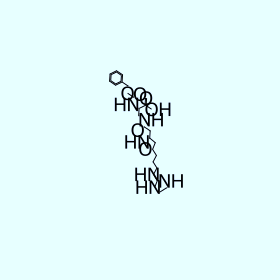 O=C(CC1CC(CCCNC2NCCN2)ON1)NCC(NC(=O)OCc1ccccc1)C(=O)O